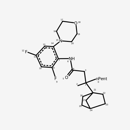 CCCCCC(C)(CC(=O)Nc1c(F)cc(F)cc1N1CCOCC1)C12CCC(CC1)C2